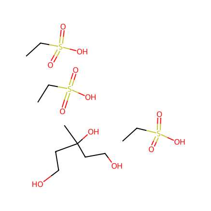 CC(O)(CCO)CCO.CCS(=O)(=O)O.CCS(=O)(=O)O.CCS(=O)(=O)O